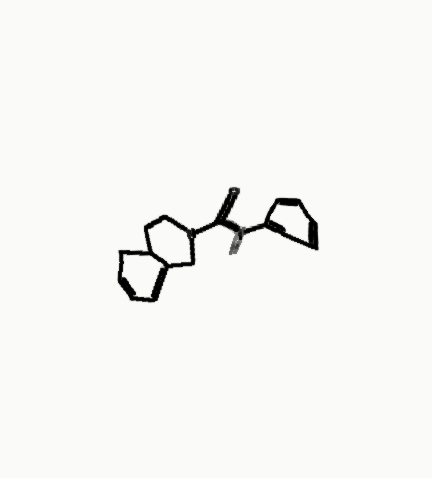 O=C(Nc1ccccc1)N1CCC2CC=CC=C2C1